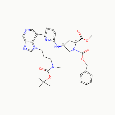 COC(=O)[C@@H]1C[C@H](Nc2cccc(-c3cncc4ncn(CCCN(C)C(=O)OC(C)(C)C)c34)n2)CN1C(=O)OCc1ccccc1